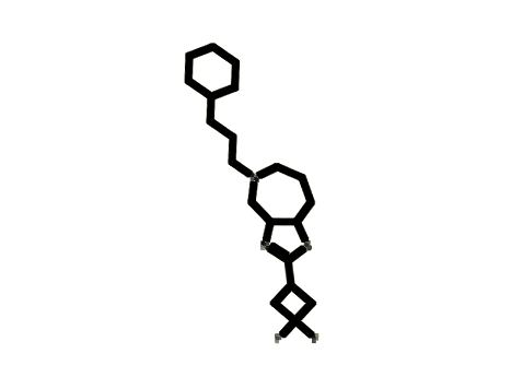 FC1(F)CC(C2=NC3CN(CCCC4CCCCC4)CCCC3S2)C1